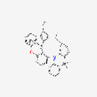 CC(C)c1cc(C(C)C)c2c(c1)C(C)c1ccc3c(c1)N(c1ccccc1[Si]3(C)C)c1cccc3c1B2c1ccccc1O3